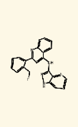 FCc1ccccc1-c1cc(Nc2n[nH]c3cccnc23)c2ccccc2n1